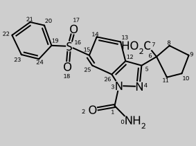 NC(=O)n1nc(C2(C(=O)O)CCCC2)c2ccc(S(=O)(=O)c3ccccc3)cc21